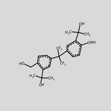 COc1ccc(C(c2ccc(CO)c(C(C)(C)O)c2)(C(F)(F)F)C(F)(F)F)cc1C(C)(C)O